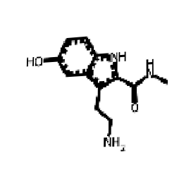 CNC(=O)c1[nH]c2ccc(O)cc2c1CCN